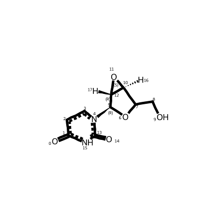 O=c1ccn([C@@H]2OC(CO)[C@@H]3O[C@@H]23)c(=O)[nH]1